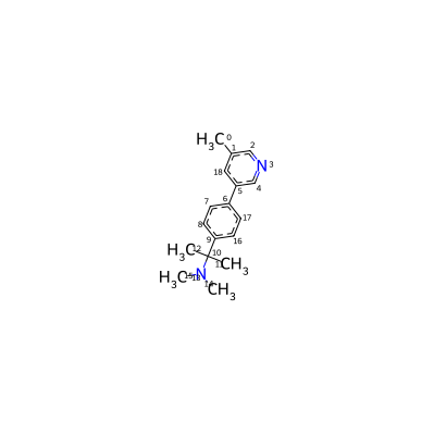 Cc1cncc(-c2ccc(C(C)(C)N(C)C)cc2)c1